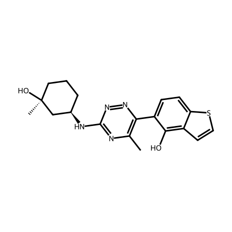 Cc1nc(N[C@@H]2CCC[C@](C)(O)C2)nnc1-c1ccc2sccc2c1O